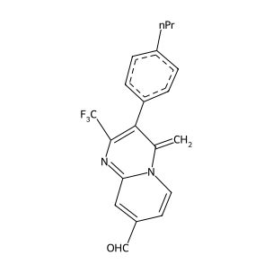 C=C1C(c2ccc(CCC)cc2)=C(C(F)(F)F)N=C2C=C(C=O)C=CN12